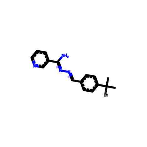 CCC(C)(C)c1ccc(/C=N/N=C(\N)c2cccnc2)cc1